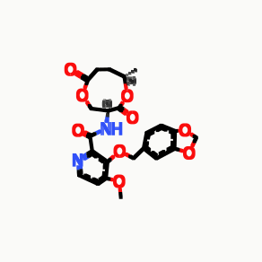 COc1ccnc(C(=O)N[C@H]2COC(=O)CC[C@H](C)OC2=O)c1OCc1ccc2c(c1)OCO2